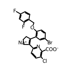 O=C([O-])c1nc(C2=C(c3cc(Br)ccc3OCc3ccc(F)cc3F)CCC2)ccc1Cl.[Na+]